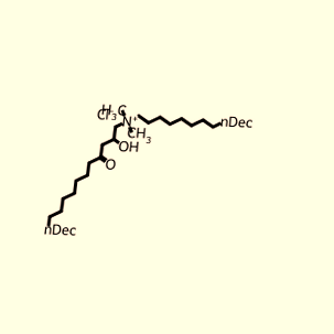 CCCCCCCCCCCCCCCCCC[N+](C)(C)CC(O)CC(=O)CCCCCCCCCCCCCCCCC.[Cl-]